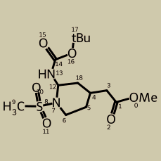 COC(=O)CC1CCN(S(C)(=O)=O)C(NC(=O)OC(C)(C)C)C1